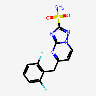 NS(=O)(=O)c1nc2nc(Cc3c(F)cccc3F)ccn2n1